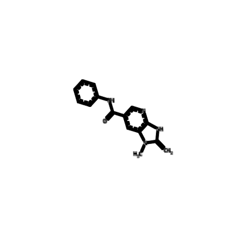 C=C1Nc2ncc(C(=O)Nc3ccccc3)cc2N1C